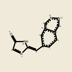 O=C1C=NC(=Cc2ccc3cnncc3c2)N1